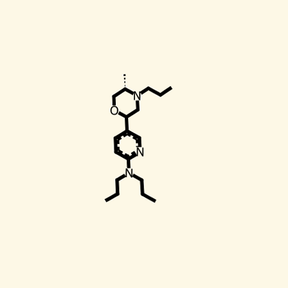 CCCN(CCC)c1ccc(C2CN(CCC)[C@@H](C)CO2)cn1